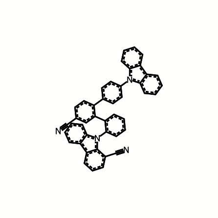 N#Cc1ccc(-c2ccc(-n3c4ccccc4c4ccccc43)cc2)c(-c2ccccc2-n2c3ccccc3c3cccc(C#N)c32)c1